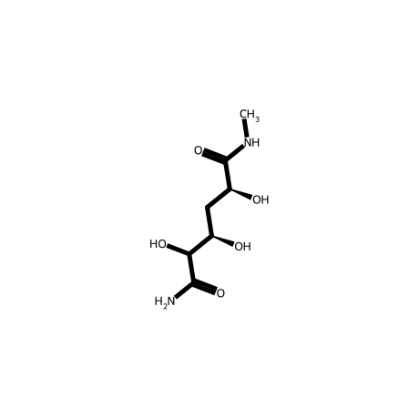 CNC(=O)[C@@H](O)C[C@@H](O)C(O)C(N)=O